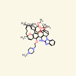 COC(=O)/C(C)=C\CC12OC(C)(C)C3CC(C1=O)C1C4=C(Nc5nc6ccccc6n51)c1c(OCCN5CCN(C)CC5)c5c(c(CC=C(C)C)c1OC432)OC(C)(CCC=C(C)C)C=C5